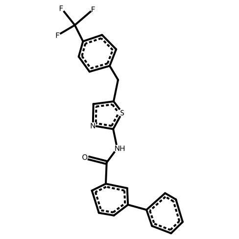 O=C(Nc1ncc(Cc2ccc(C(F)(F)F)cc2)s1)c1cccc(-c2ccccc2)c1